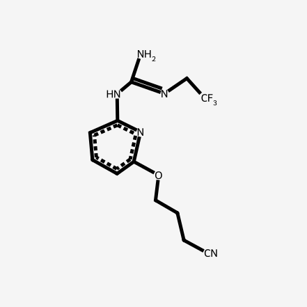 N#CCCCOc1cccc(NC(N)=NCC(F)(F)F)n1